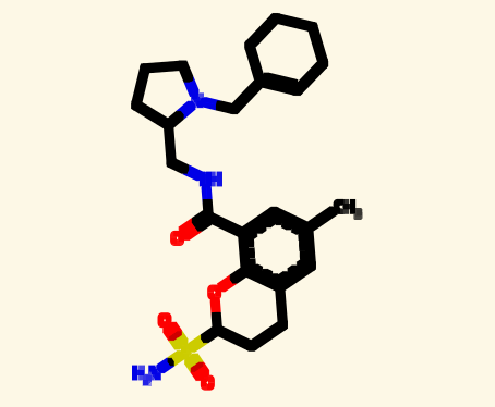 Cc1cc2c(c(C(=O)NCC3CCCN3CC3=CCCCC3)c1)OC(S(N)(=O)=O)CC2